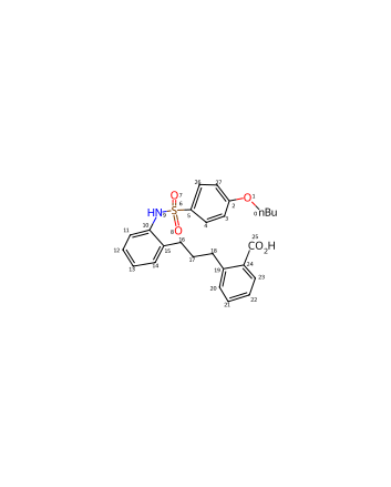 CCCCOc1ccc(S(=O)(=O)Nc2ccccc2CCCc2ccccc2C(=O)O)cc1